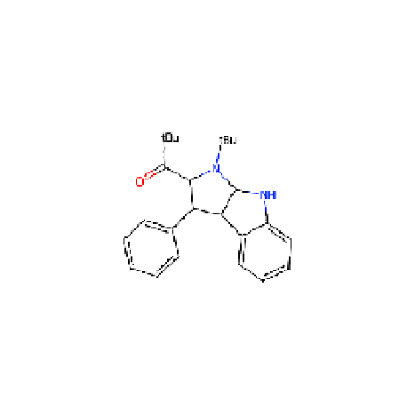 CC(C)(C)C(=O)C1C(c2ccccc2)C2c3ccccc3NC2N1C(C)(C)C